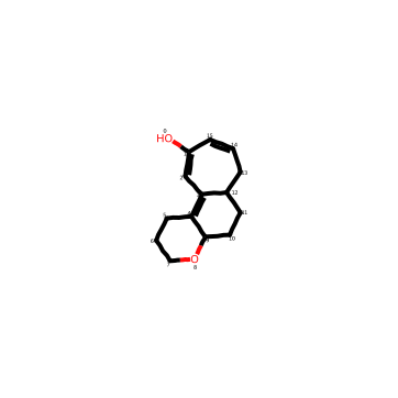 OC1=CC2=C3CCCOC3CCC2CC=C1